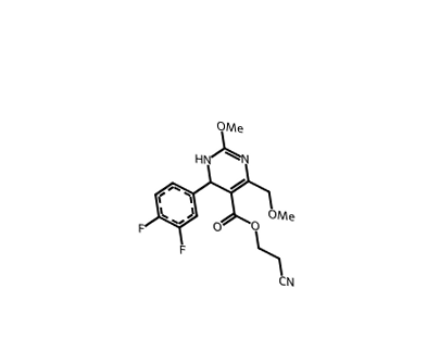 COCC1=C(C(=O)OCCC#N)C(c2ccc(F)c(F)c2)NC(OC)=N1